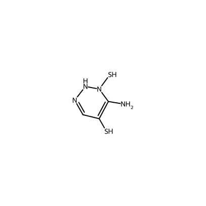 NC1=C(S)C=NNN1S